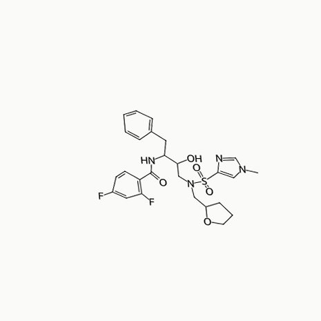 Cn1cnc(S(=O)(=O)N(CC2CCCO2)CC(O)C(Cc2ccccc2)NC(=O)c2ccc(F)cc2F)c1